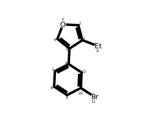 [CH2]Cc1cocc1-c1cccc(Br)c1